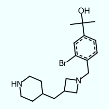 CC(C)(O)c1ccc(CN2CC(CC3CCNCC3)C2)c(Br)c1